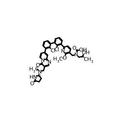 COc1nc(-c2cccc(-c3cccc(-c4ccn5c(=O)c(CN(C)[C@H]6CCC(=O)N6)cnc5c4)c3Cl)c2Cl)ccc1CN(C[C@@H](C)O)C(=O)O